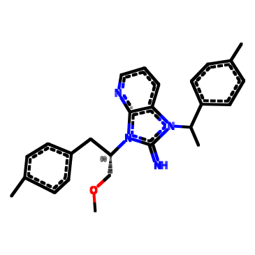 COC[C@H](Cc1ccc(C)cc1)n1c(=N)n(C(C)c2ccc(C)cc2)c2cccnc21